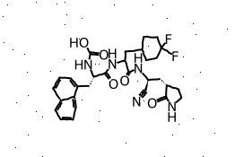 N#C[C@H](C[C@@H]1CCNC1=O)NC(=O)C(CC1CCC(F)(F)CC1)NC(=O)[C@H](Cc1cccc2ccccc12)NC(=O)O